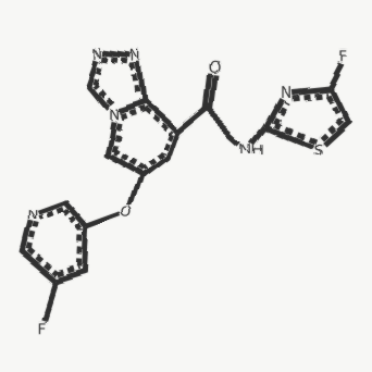 O=C(Nc1nc(F)cs1)c1cc(Oc2cncc(F)c2)cn2cnnc12